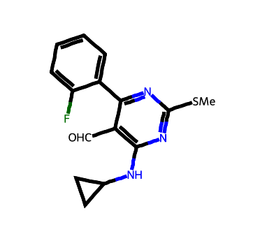 CSc1nc(NC2CC2)c(C=O)c(-c2ccccc2F)n1